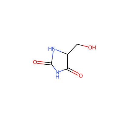 O=C1NC(=O)C(CO)N1